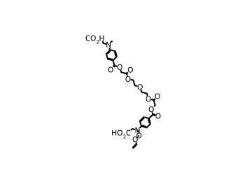 C=COON(CC(=O)O)c1ccc(C(=O)OCC(=O)OCCOCCOC(=O)COC(=O)c2ccc(N(C)CC(=O)O)cc2)cc1